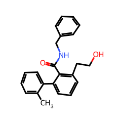 Cc1ccccc1-c1cccc(CCO)c1C(=O)NCc1ccccc1